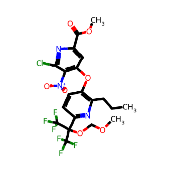 CCCc1nc(C(OCOC)(C(F)(F)F)C(F)(F)F)ccc1Oc1cc(C(=O)OC)nc(Cl)c1[N+](=O)[O-]